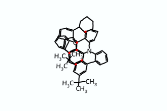 CC(C)(C)c1cc(-c2ccccc2N(c2ccccc2-c2cccc3cccc(C4CCCCC4)c23)c2cccc3c2oc2ccccc23)cc(C(C)(C)C)c1